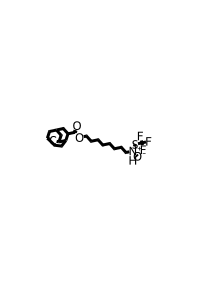 O=C(OCCCCCCCC[NH+]([O-])SC(F)(F)F)C1CC2CC3CCC1C(C3)C2